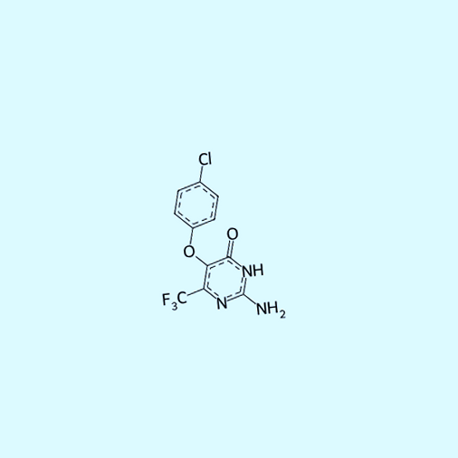 Nc1nc(C(F)(F)F)c(Oc2ccc(Cl)cc2)c(=O)[nH]1